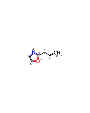 C=C[CH]c1ncco1